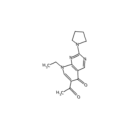 CCn1cc(C(C)=O)c(=O)c2cnc(N3CCCC3)nc21